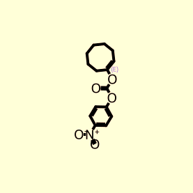 O=C(O/C1=C/CCCCCC1)Oc1ccc([N+](=O)[O-])cc1